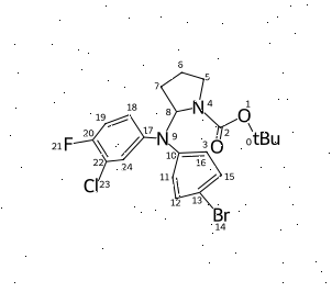 CC(C)(C)OC(=O)N1CCCC1N(c1ccc(Br)cc1)c1ccc(F)c(Cl)c1